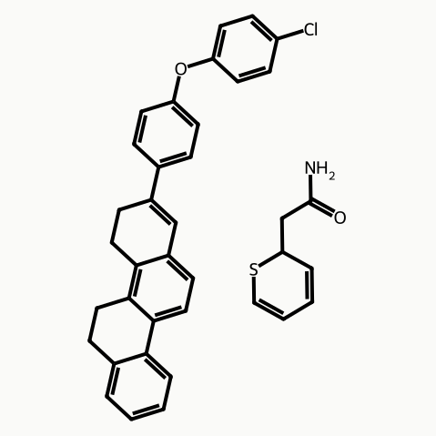 Clc1ccc(Oc2ccc(C3=Cc4ccc5c(c4CC3)CCc3ccccc3-5)cc2)cc1.NC(=O)CC1C=CC=CS1